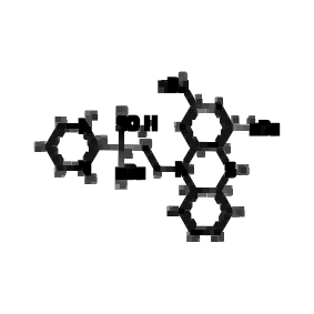 CCCCc1cc(CCCC)c2c(c1)N(CCC(CCCC)(c1ncccn1)S(=O)(=O)O)c1ccccc1S2